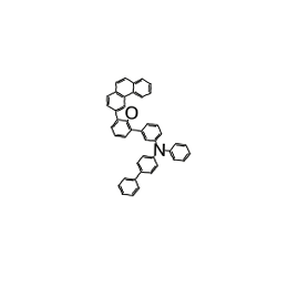 c1ccc(-c2ccc(N(c3ccccc3)c3cccc(-c4cccc5c4oc4c5ccc5ccc6ccccc6c54)c3)cc2)cc1